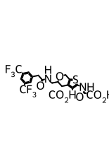 O=C(Cc1cc(C(F)(F)F)cc(C(F)(F)F)c1)NCC1Cc2c(sc(NC(=O)C(=O)O)c2C(=O)O)CO1